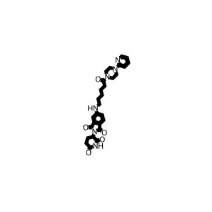 O=C1CCC(N2C(=O)c3ccc(NCCCCCC(=O)N4CCN(c5ccccn5)CC4)cc3C2=O)C(=O)N1